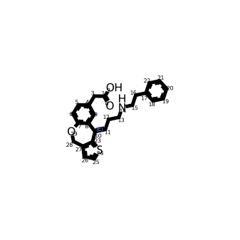 O=C(O)Cc1ccc2c(c1)/C(=C\CCNCCc1ccccc1)c1sccc1CO2